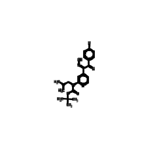 CC(C)CN(C(=O)OC(C)(C)C)c1cc(C(=NO)C(=O)c2ccc(F)cc2)ccn1